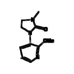 COc1nc[c]cc1N1CCN(C)C1=O